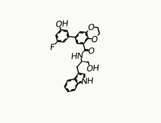 O=C(N[C@@H](CO)Cc1c[nH]c2ccccc12)c1cc(-c2cc(O)cc(F)c2)cc2c1OCCO2